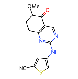 COC1CCc2nc(Nc3csc(C#N)c3)ncc2C1=O